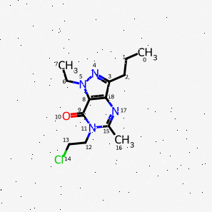 CCCc1nn(CC)c2c(=O)n(CCCl)c(C)nc12